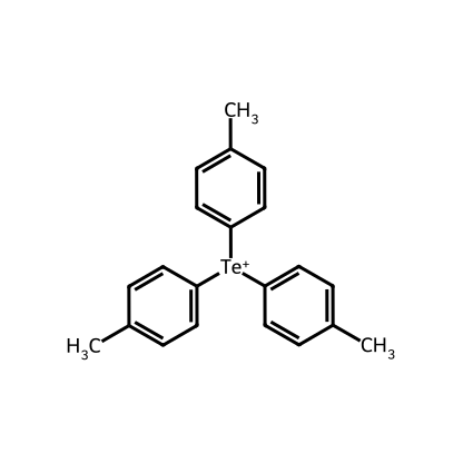 Cc1ccc([Te+](c2ccc(C)cc2)c2ccc(C)cc2)cc1